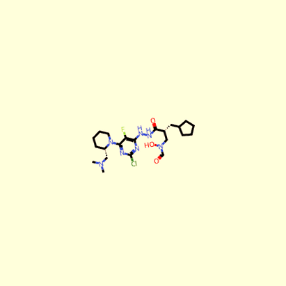 CN(C)C[C@@H]1CCCCN1c1nc(Cl)nc(NNC(=O)[C@H](CC2CCCC2)CN(O)C=O)c1F